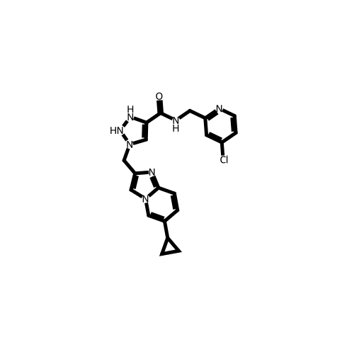 O=C(NCc1cc(Cl)ccn1)C1=CN(Cc2cn3cc(C4CC4)ccc3n2)NN1